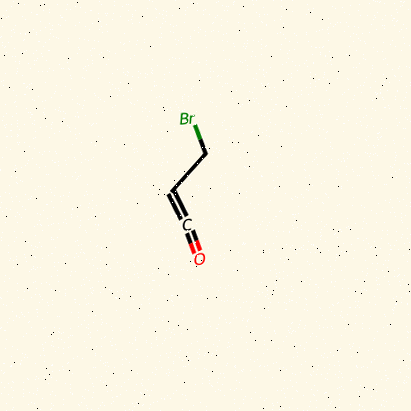 O=C=CCBr